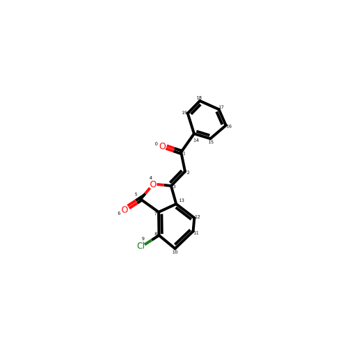 O=C(C=C1OC(=O)c2c(Cl)cccc21)c1ccccc1